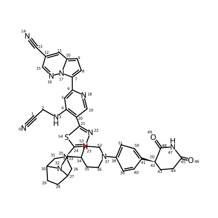 N#CCNc1cc(-c2ccc3cc(C#N)cnn23)ncc1-c1nnc(N2CC3CCC(C2)N3CC2CCN(c3ccc([C@@H]4CCC(=O)NC4=O)cc3)CC2)s1